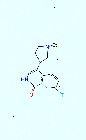 CCN1CCC(c2c[nH]c(=O)c3cc(F)ccc23)C1